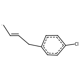 [CH2]C=CCc1ccc(Cl)cc1